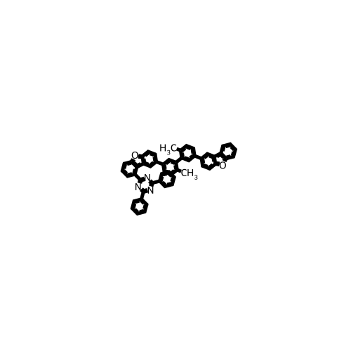 Cc1ccc(-c2ccc3oc4ccccc4c3c2)cc1-c1cc(-c2ccc3oc4cccc(-c5nc(-c6ccccc6)nc(-c6ccccc6)n5)c4c3c2)ccc1C